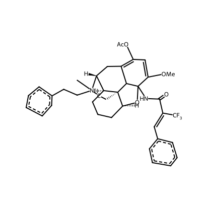 COC1=CC(OC(C)=O)=C2C[C@@H]3[C@@H]4CCC[C@@H]5OC1(NC(=O)C(=Cc1ccccc1)C(F)(F)F)C2[C@@]54CC[N+]3(C)CCc1ccccc1